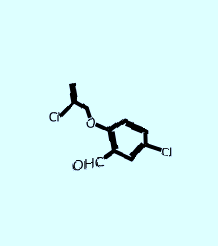 C=C(Cl)COc1ccc(Cl)cc1C=O